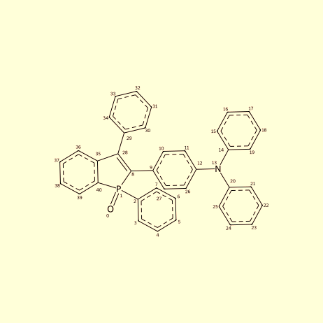 O=P1(c2ccccc2)C(c2ccc(N(c3ccccc3)c3ccccc3)cc2)=C(c2ccccc2)c2ccccc21